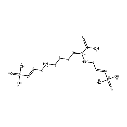 O=C(O)[C@H](CCCCNCC=CP(=O)(O)O)NCC=CP(=O)(O)O